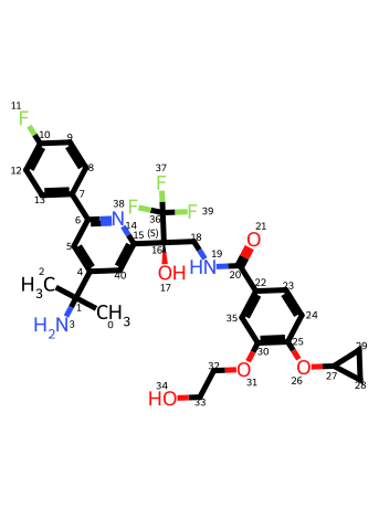 CC(C)(N)c1cc(-c2ccc(F)cc2)nc([C@@](O)(CNC(=O)c2ccc(OC3CC3)c(OCCO)c2)C(F)(F)F)c1